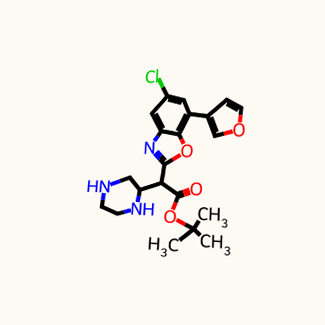 CC(C)(C)OC(=O)C(c1nc2cc(Cl)cc(-c3ccoc3)c2o1)C1CNCCN1